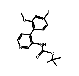 COc1cc(F)ccc1-c1ccncc1NC(=O)OC(C)(C)C